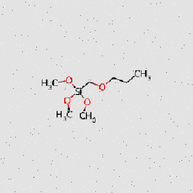 CCCO[CH][Si](OC)(OC)OC